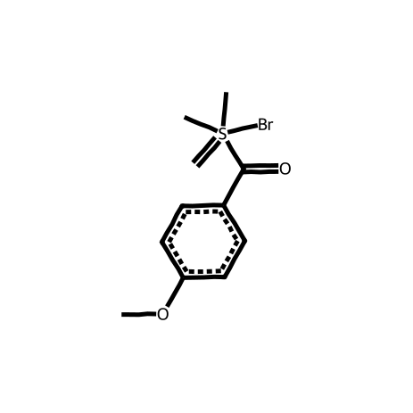 C=S(C)(C)(Br)C(=O)c1ccc(OC)cc1